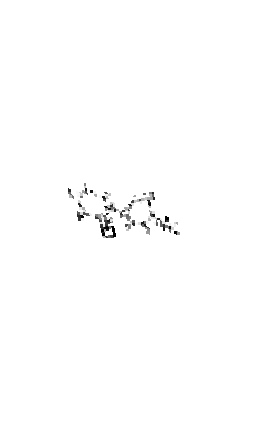 CC(=O)c1ccc(-c2ccccc2Cl)cc1